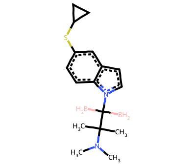 BC(B)(n1ccc2cc(SC3CC3)ccc21)C(C)(C)N(C)C